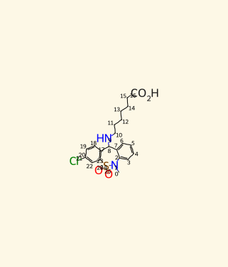 CN1c2ccccc2C(NCCCCCCC(=O)O)c2ccc(Cl)cc2S1(=O)=O